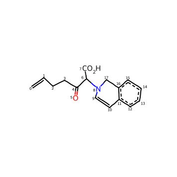 C=CCCC(=O)C(C(=O)O)N1C=Cc2ccccc2C1